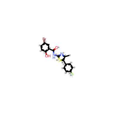 Cc1nc(NC(=O)c2cc(Br)ccc2O)sc1-c1ccc(F)cc1